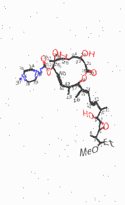 CCC(OC)C(C)C1OC1C(O)C(C)/C=C/C=C(\C)C1OC(=O)CC(O)CCC(C)(O)C(OC(=O)N2CCN(C)CC2)/C=C/C1C